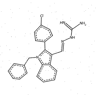 N=C(N)NN=Cc1c(-c2ccc(Cl)cc2)n(Cc2ccccc2)c2ccccc12